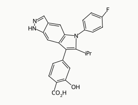 CC(C)c1c(-c2ccc(C(=O)O)c(O)c2)c2cc3[nH]ncc3cc2n1-c1ccc(F)cc1